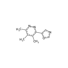 Cc1nnc(-c2cnco2)c(C)c1C